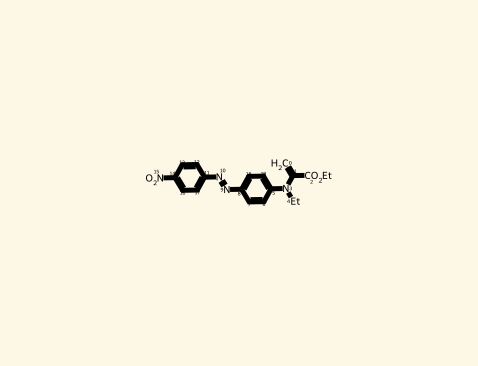 C=C(C(=O)OCC)N(CC)c1ccc(N=Nc2ccc([N+](=O)[O-])cc2)cc1